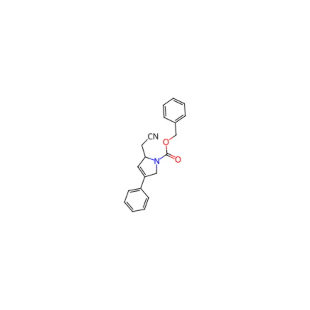 N#CCC1C=C(c2ccccc2)CN1C(=O)OCc1ccccc1